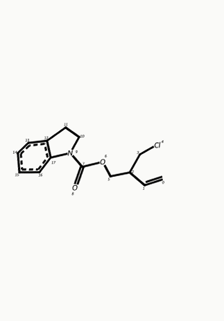 C=CC(CCl)COC(=O)N1CCc2ccccc21